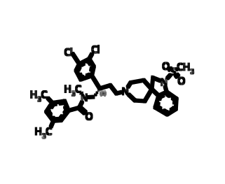 Cc1cc(C)cc(C(=O)N(C)C[C@@H](CCN2CCC3(CC2)CN(S(C)(=O)=O)c2ccccc23)c2ccc(Cl)c(Cl)c2)c1